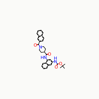 CC(C)(C)OC(=O)Nc1cc(NC(=O)C2CCN(C(=O)c3ccc4ccccc4c3)CC2)c2ccccc2c1